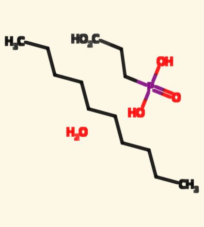 CCCCCCCCCC.O.O=C(O)CCP(=O)(O)O